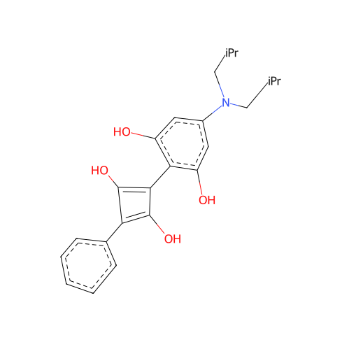 CC(C)CN(CC(C)C)c1cc(O)c(C2=C(O)C(c3ccccc3)=C2O)c(O)c1